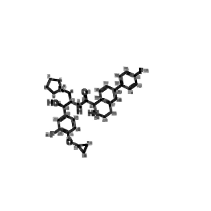 O=C(N[C@H](CN1CCCC1)[C@H](O)c1ccc(OC2CC2)c(F)c1)C1NCCc2cc(-c3ccc(F)cc3)ccc21